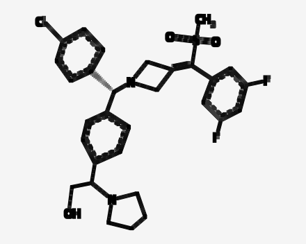 CS(=O)(=O)C(=C1CN([C@@H](c2ccc(Cl)cc2)c2ccc(C(CO)N3CCCC3)cc2)C1)c1cc(F)cc(F)c1